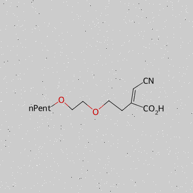 CCCCCOCCOCCC(=CC#N)C(=O)O